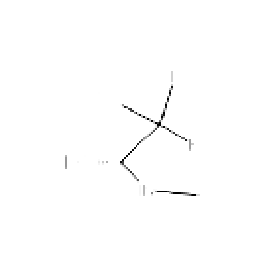 CCN[C@H](C)C(F)(F)F